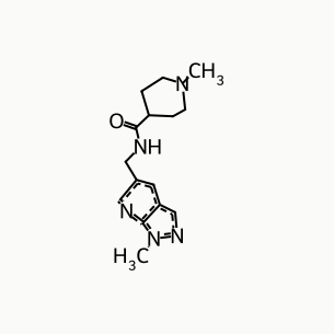 CN1CCC(C(=O)NCc2cnc3c(cnn3C)c2)CC1